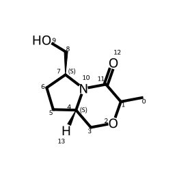 CC1OC[C@@H]2CC[C@@H](CO)N2C1=O